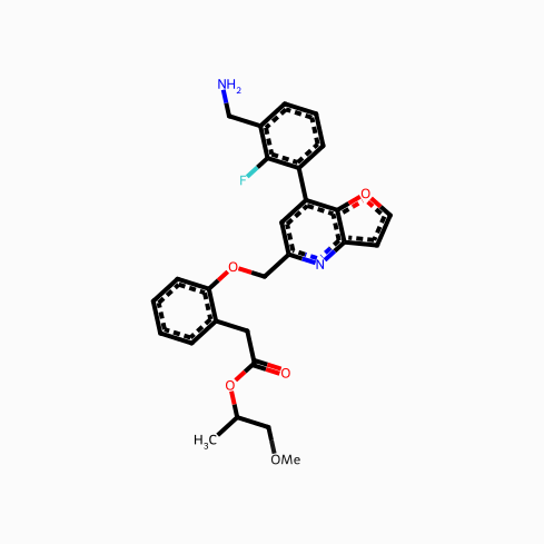 COCC(C)OC(=O)Cc1ccccc1OCc1cc(-c2cccc(CN)c2F)c2occc2n1